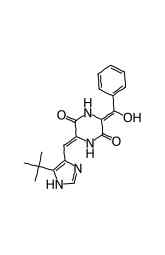 CC(C)(C)c1[nH]cnc1/C=c1\[nH]c(=O)/c(=C(\O)c2ccccc2)[nH]c1=O